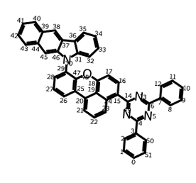 c1ccc(-c2nc(-c3ccccc3)nc(-c3ccc4c5c(cccc35)-c3cccc(-n5c6ccccc6c6cc7ccccc7cc65)c3O4)n2)cc1